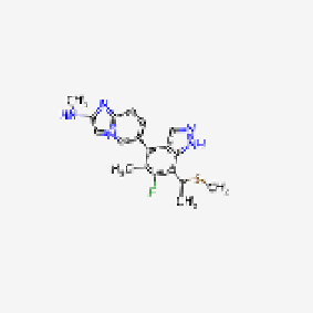 CNc1cn2cc(-c3c(C)c(F)c(C(C)SC)c4[nH]ncc34)ccc2n1